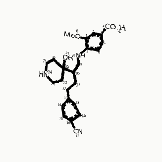 COc1cc(C(=O)O)ccc1NCC(CCc1ccc(C#N)cc1)C1(O)CCNCC1